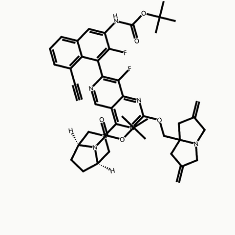 C#Cc1cccc2cc(NC(=O)OC(C)(C)C)c(F)c(-c3ncc4c(N5C[C@H]6CC[C@@H](C5)N6C(=O)OC(C)(C)C)nc(OCC56CC(=C)CN5CC(=C)C6)nc4c3F)c12